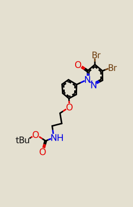 CC(C)(C)OC(=O)NCCCOc1cccc(-n2ncc(Br)c(Br)c2=O)c1